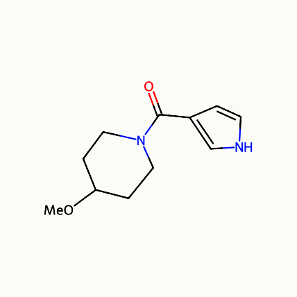 COC1CCN(C(=O)c2cc[nH]c2)CC1